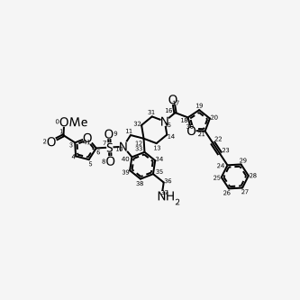 COC(=O)c1ccc(S(=O)(=O)N2CC3(CCN(C(=O)c4ccc(C#Cc5ccccc5)o4)CC3)c3cc(CN)ccc32)o1